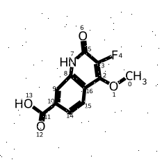 COc1c(F)c(=O)[nH]c2cc(C(=O)O)ccc12